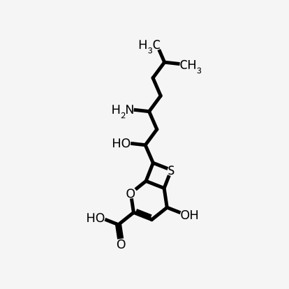 CC(C)CCC(N)CC(O)C1SC2C(O)C=C(C(=O)O)OC21